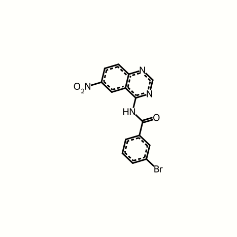 O=C(Nc1ncnc2ccc([N+](=O)[O-])cc12)c1cccc(Br)c1